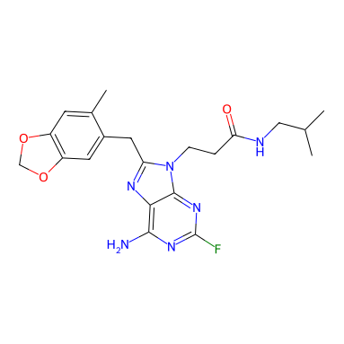 Cc1cc2c(cc1Cc1nc3c(N)nc(F)nc3n1CCC(=O)NCC(C)C)OCO2